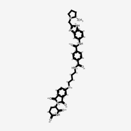 C[C@H]1CCCN1Cc1nc2cc(NC(=O)c3ccc(C(=O)NCCCCOc4ccc5c(c4)C(=O)N(C4CCC(=O)NC4=O)C5=O)cc3)ccc2[nH]1